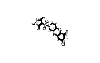 Cc1nn(C)c(C)c1S(=O)(=O)N1CCC(Oc2c(F)cc(Cl)cc2F)CC1